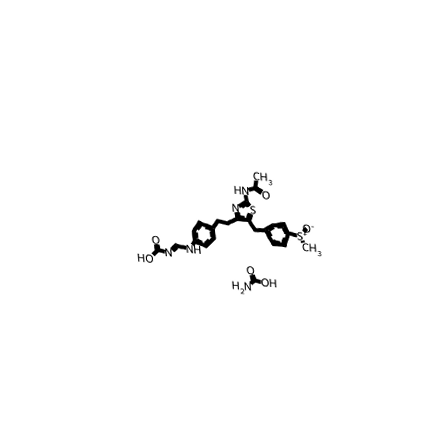 CC(=O)Nc1nc(CCc2ccc(NC=NC(=O)O)cc2)c(Cc2ccc([S+](C)[O-])cc2)s1.NC(=O)O